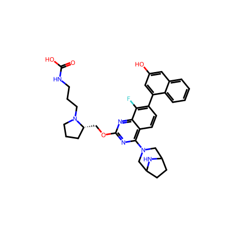 O=C(O)NCCCN1CCC[C@H]1COc1nc(N2CC3CCC(C2)N3)c2ccc(-c3cc(O)cc4ccccc34)c(F)c2n1